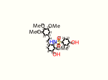 COc1cc(C=Cc2ccc(O)c(OC)c2NS(=O)(=O)c2ccc(O)cc2)cc(OC)c1OC